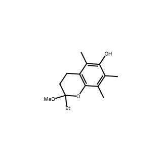 CCC1(OC)CCc2c(C)c(O)c(C)c(C)c2O1